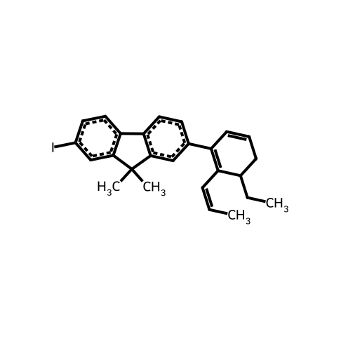 C/C=C\C1=C(c2ccc3c(c2)C(C)(C)c2cc(I)ccc2-3)C=CCC1CC